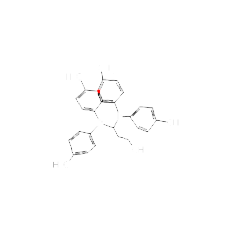 CCCC(P(c1ccc(C)cc1)c1ccc(C)cc1)P(c1ccc(C)cc1)c1ccc(C)cc1